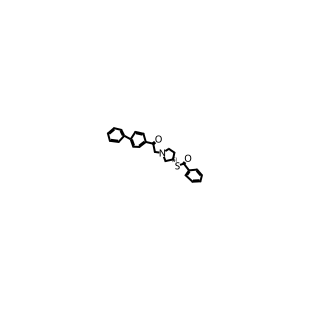 O=C(CN1CC[C@H](SC(=O)c2ccccc2)C1)c1ccc(-c2ccccc2)cc1